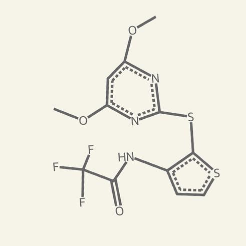 COc1cc(OC)nc(Sc2sccc2NC(=O)C(F)(F)F)n1